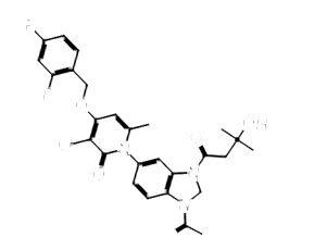 CC(=O)N1CN(C(=O)CC(C)(C)O)c2cc(-n3c(C)cc(OCc4ccc(F)cc4F)c(Cl)c3=O)ccc21